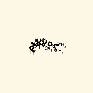 COCCN(CCOC)[C@H]1CC[C@H](c2cnc(N)c3c(-c4cc(F)c(NS(=O)(=O)c5cccc(C(F)(F)F)c5)cc4F)nn(C(C)C)c32)CC1